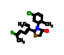 C=C/C(=C\C=C(/C)F)C1SCC(=O)N1c1cc(Cl)ccc1C